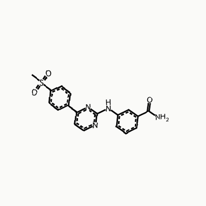 CS(=O)(=O)c1ccc(-c2ccnc(Nc3cccc(C(N)=O)c3)n2)cc1